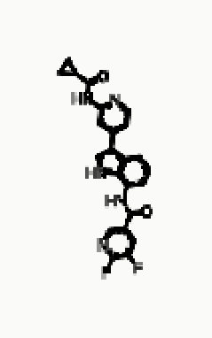 O=C(Nc1cccc2c(-c3ccnc(NC(=O)C4CC4)c3)c[nH]c12)c1cnc(F)c(F)c1